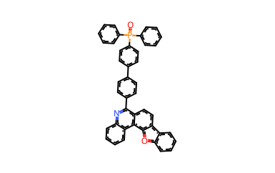 O=P(c1ccccc1)(c1ccccc1)c1ccc(-c2ccc(-c3nc4ccccc4c4c3ccc3c5ccccc5oc34)cc2)cc1